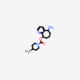 CC1CCN(C(=O)OC2CCCC(N)c3cccnc32)CC1